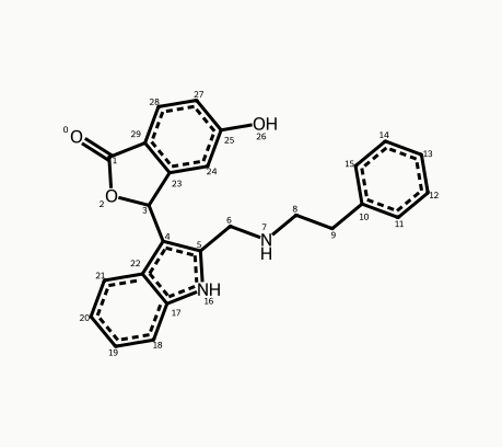 O=C1OC(c2c(CNCCc3ccccc3)[nH]c3ccccc23)c2cc(O)ccc21